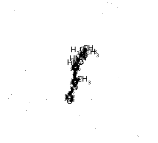 Cc1cc(OCCCN2CCOCC2)ccc1C#Cc1ccc(NC(=O)Nc2cc(C(C)(C)C)on2)cc1